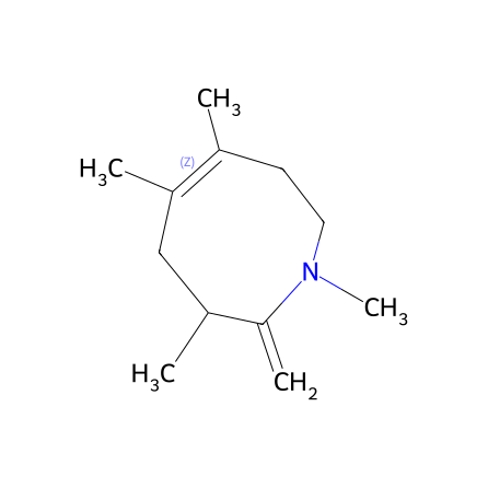 C=C1C(C)C/C(C)=C(/C)CCN1C